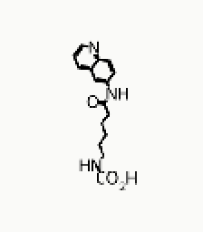 O=C(O)NCCCCCC(=O)Nc1ccc2ncccc2c1